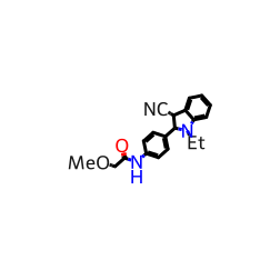 CCN1c2ccccc2C(C#N)C1c1ccc(NC(=O)COC)cc1